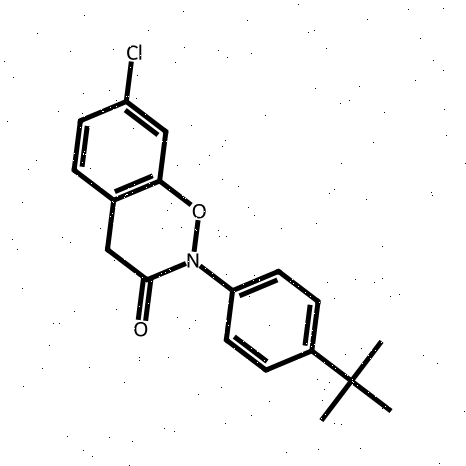 CC(C)(C)c1ccc(N2Oc3cc(Cl)ccc3CC2=O)cc1